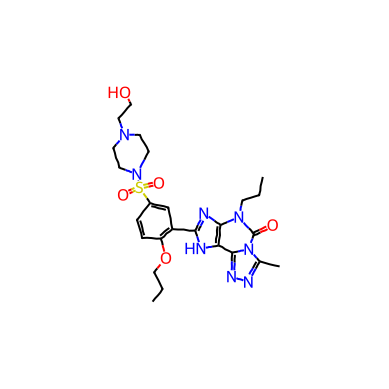 CCCOc1ccc(S(=O)(=O)N2CCN(CCO)CC2)cc1-c1nc2c([nH]1)c1nnc(C)n1c(=O)n2CCC